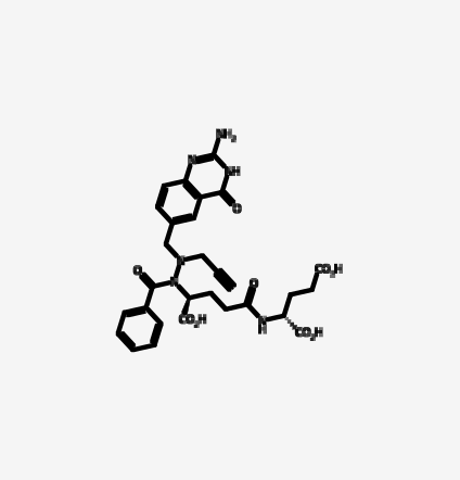 C#CCN(Cc1ccc2nc(N)[nH]c(=O)c2c1)N(C(=O)c1ccccc1)[C@@H](CCC(=O)N[C@H](CCC(=O)O)C(=O)O)C(=O)O